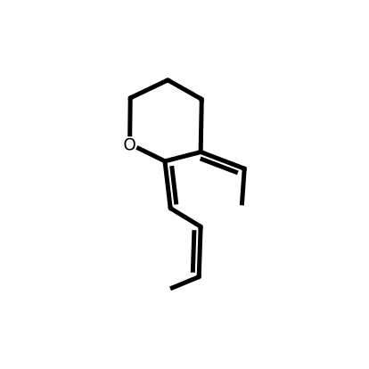 C\C=C/C=C1/OCCC/C1=C/C